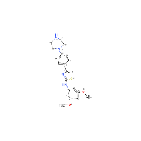 COc1cc(Nc2nc(-c3ccc(N4CCNCC4)cc3)cs2)cc(OC)c1